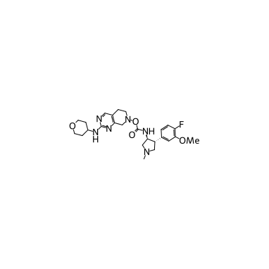 COc1cc([C@@H]2CN(C)C[C@H]2NC(=O)ON2CCc3cnc(NC4CCOCC4)nc3C2)ccc1F